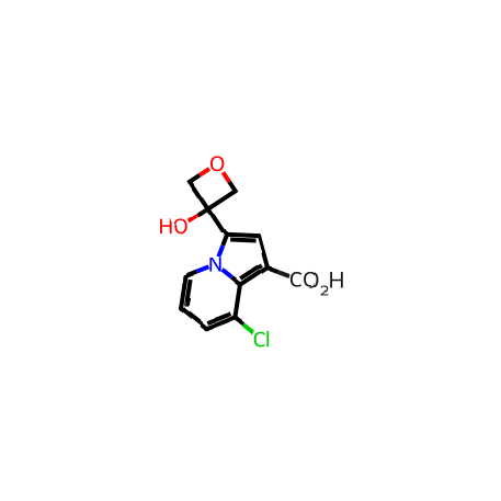 O=C(O)c1cc(C2(O)COC2)n2cccc(Cl)c12